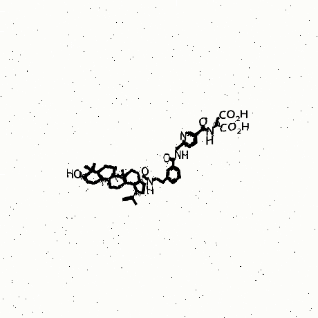 C=C(C)[C@@H]1CC[C@]2(C(=O)NCCc3cccc(C(=O)NCc4ccc(C(=O)N[C@H](CC(=O)O)C(=O)O)cn4)c3)CC[C@]3(C)C(CCC4[C@@]5(C)CC[C@H](O)C(C)(C)C5CC[C@]43C)C12